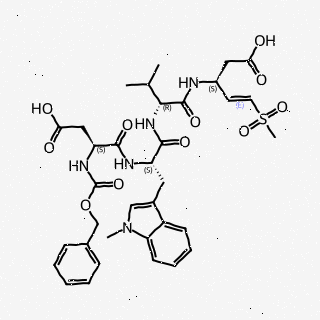 CC(C)[C@@H](NC(=O)[C@H](Cc1cn(C)c2ccccc12)NC(=O)[C@H](CC(=O)O)NC(=O)OCc1ccccc1)C(=O)N[C@H](/C=C/S(C)(=O)=O)CC(=O)O